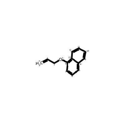 C=CCOc1cccc2ccc[c]c12